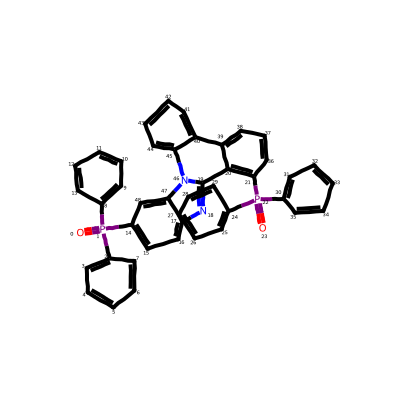 O=P(c1ccccc1)(c1ccccc1)c1ccc2nc3c4c(P(=O)(c5ccccc5)c5ccccc5)cccc4c4ccccc4n3c2c1